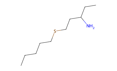 CCCCCSCCC(N)CC